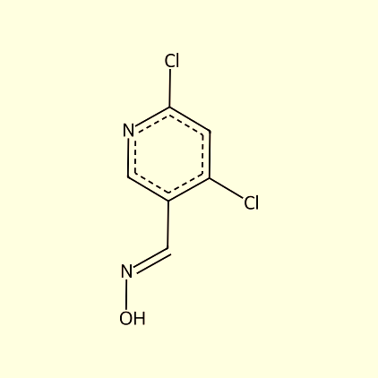 O/N=C/c1cnc(Cl)cc1Cl